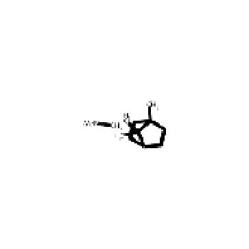 CC12CCC(CC1)C2(C)C.CNC